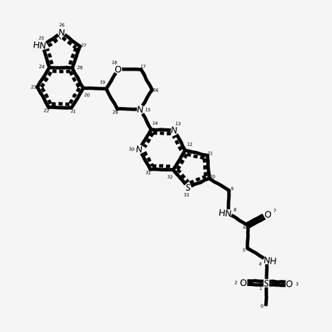 CS(=O)(=O)NCC(=O)NCc1cc2nc(N3CCOC(c4cccc5[nH]ncc45)C3)ncc2s1